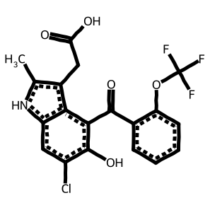 Cc1[nH]c2cc(Cl)c(O)c(C(=O)c3ccccc3OC(F)(F)F)c2c1CC(=O)O